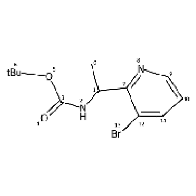 CC(NC(=O)OC(C)(C)C)c1ncccc1Br